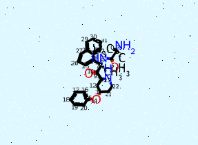 CC(C)(N)C(=O)NC(C)(C(=O)C1CC(Oc2ccccc2)CCN1)c1cccc2ccccc12